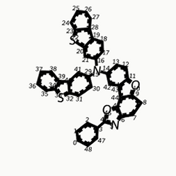 c1ccc(-c2nc3ccc4oc5ccc(N(c6ccc7c(c6)sc6ccccc67)c6ccc7sc8ccccc8c7c6)cc5c4c3o2)cc1